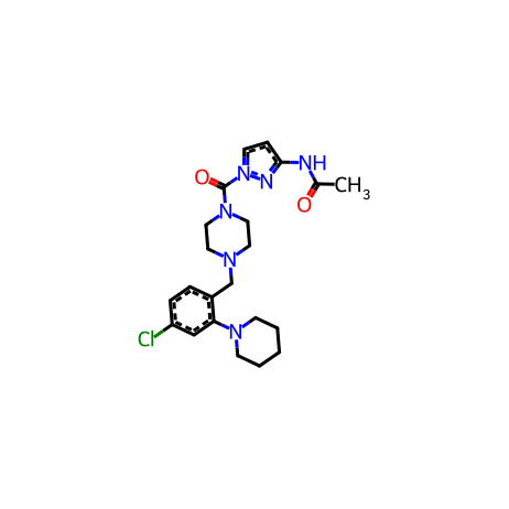 CC(=O)Nc1ccn(C(=O)N2CCN(Cc3ccc(Cl)cc3N3CCCCC3)CC2)n1